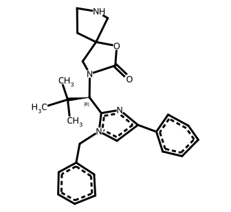 CC(C)(C)[C@H](c1nc(-c2ccccc2)cn1Cc1ccccc1)N1CC2(CCNC2)OC1=O